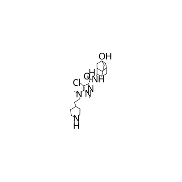 CN(CCC1CCNCC1)c1c(Cl)c(C(=O)N[C@H]2C3CC4CC2C[C@](O)(C4)C3)nn1C